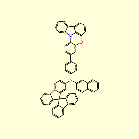 c1ccc2c(c1)-c1ccccc1C21c2ccccc2-c2ccc(N(c3ccc(-c4ccc5c(c4)Oc4cccc6c7ccccc7n-5c46)cc3)c3ccc4ccccc4c3)cc21